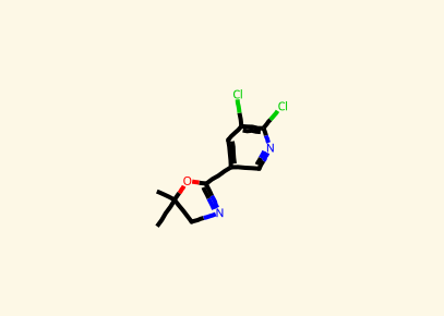 CC1(C)CN=C(c2cnc(Cl)c(Cl)c2)O1